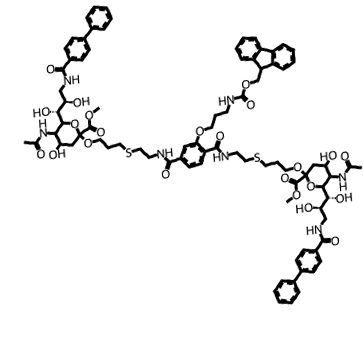 COC(=O)C1(OCCCSCCNC(=O)c2ccc(C(=O)NCCSCCCOC3(C(=O)OC)CC(O)C(NC(C)=O)C([C@H](O)[C@H](O)CNC(=O)c4ccc(-c5ccccc5)cc4)O3)c(OCCCNC(=O)OCC3c4ccccc4-c4ccccc43)c2)CC(O)C(NC(C)=O)C([C@H](O)[C@H](O)CNC(=O)c2ccc(-c3ccccc3)cc2)O1